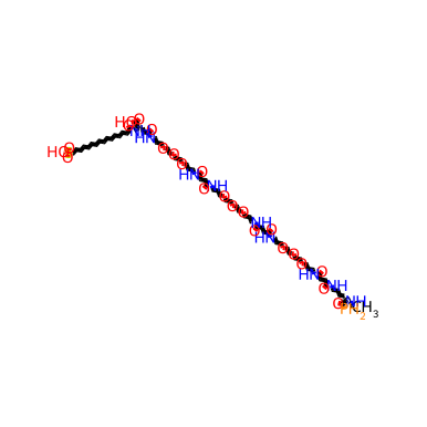 CCN[C@@H](CCCCNC(=O)CCC(=O)NCCCOCCOCCOCCCNC(=O)CCC(=O)NCCCOCCOCCOCCCNC(=O)CCC(=O)NCCCOCCOCCOCCCNC(=O)CC[C@H](NC(=O)CCCCCCCCCCCCCCCS(=O)(=O)O)C(=O)O)C(=O)P